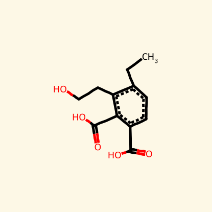 CCc1ccc(C(=O)O)c(C(=O)O)c1CCO